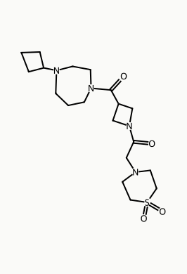 O=C(CN1CCS(=O)(=O)CC1)N1CC(C(=O)N2CCCN(C3CCC3)CC2)C1